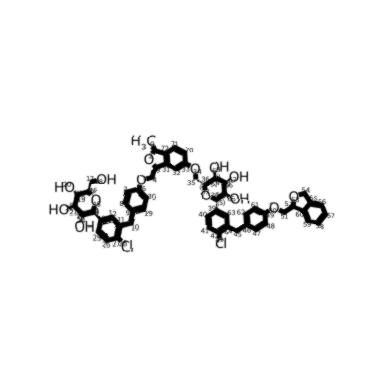 CC1OC(COc2ccc(Cc3cc([C@@H]4O[C@H](CO)[C@@H](O)[C@H](O)[C@H]4O)ccc3Cl)cc2)c2cc(OC[C@H]3O[C@@H](c4ccc(Cl)c(Cc5ccc(OCC6OCc7ccccc76)cc5)c4)[C@H](O)[C@@H](O)[C@@H]3O)ccc21